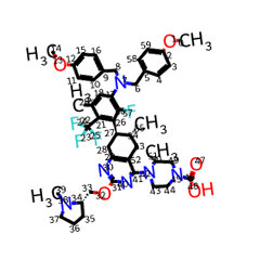 COc1ccc(CN(Cc2ccc(OC)cc2)c2cc(C)c(C(F)(F)F)c([C@@H]3Cc4nc(OC[C@@H]5CCCN5C)nc(N5CCN(C(=O)O)C[C@@H]5C)c4C[C@H]3C)c2F)cc1